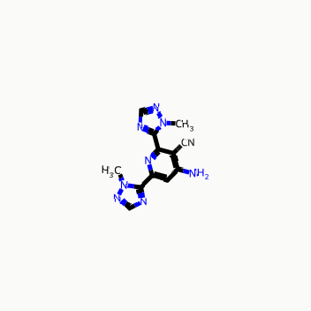 Cn1ncnc1-c1cc(N)c(C#N)c(-c2ncnn2C)n1